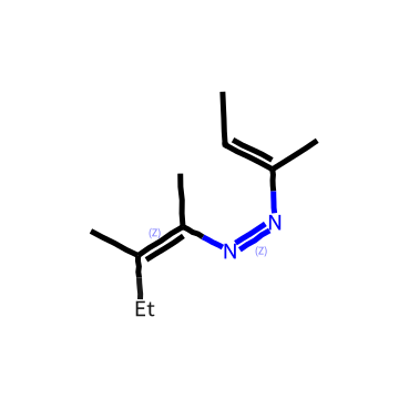 CC=C(C)/N=N\C(C)=C(\C)CC